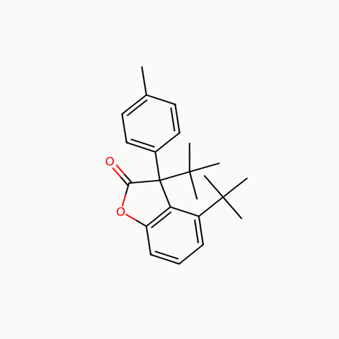 Cc1ccc(C2(C(C)(C)C)C(=O)Oc3cccc(C(C)(C)C)c32)cc1